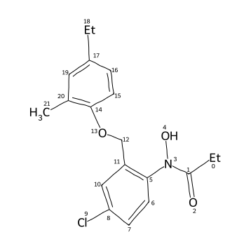 CCC(=O)N(O)c1ccc(Cl)cc1COc1ccc(CC)cc1C